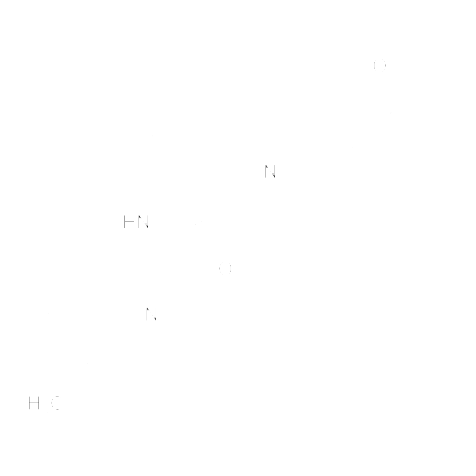 Cc1ccc(NC(=O)[C@H](CC2CCCCC2)N2C=C3C=CCC(=O)C3C2)nc1